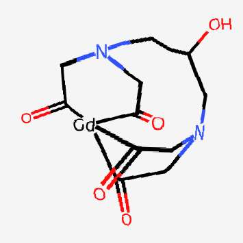 O=[C]1CN2C[C](=O)[Gd]13[C](=O)CN(C[C]3=O)CC(O)C2